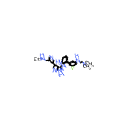 CCNCc1cncc(-c2cnc3[nH]nc(-c4nc5c(-c6cc(F)cc(NCCN(C)C)c6)cccc5[nH]4)c3c2)c1